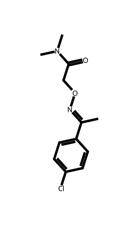 CC(=NOCC(=O)N(C)C)c1ccc(Cl)cc1